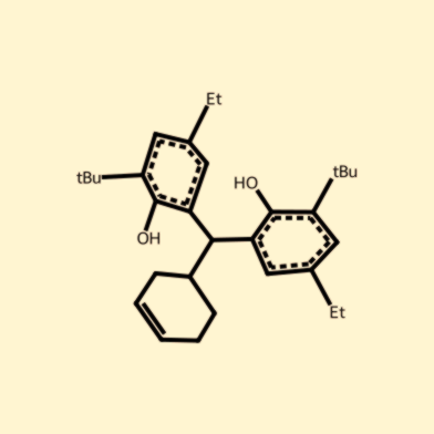 CCc1cc(C(c2cc(CC)cc(C(C)(C)C)c2O)C2CC=CCC2)c(O)c(C(C)(C)C)c1